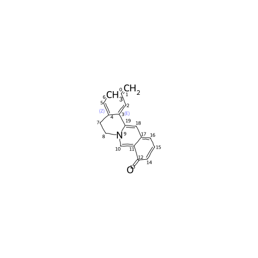 C=C/C=C1\C(=C/C)CCn2cc3c(=O)cccc-3cc21